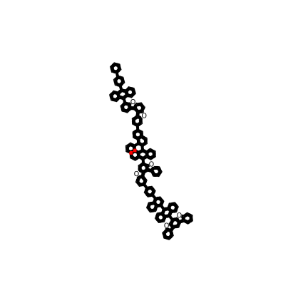 c1ccc(-c2ccc(-c3c4ccccc4c(-c4cccc5c4oc4ccc6oc7cc(-c8ccc9c(-c%10ccccc%10)c(-c%10c%11ccccc%11c(-c%11cc%12oc%13ccc(-c%14ccc(-c%15ccc(-c%16c%17ccccc%17c(-c%17c%18oc%19ccccc%19c%18cc%18c%17oc%17ccccc%17%18)c%17ccccc%16%17)c%16ccccc%15%16)cc%14)cc%13c%12c%12c%11oc%11ccccc%11%12)c%11ccccc%10%11)ccc9c8)ccc7c6c45)c4ccccc34)cc2)cc1